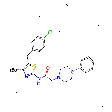 CC(C)(C)c1nc(NC(=O)CN2CCN(c3ccccc3)CC2)sc1Cc1ccc(Cl)cc1